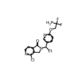 CCC(c1ccc(OCC(F)(F)P)nc1)N1Cc2c(ccnc2Cl)C1=O